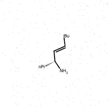 CCC[C@@H](N)/C=C/C(C)CC